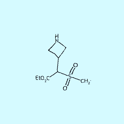 [CH2]S(=O)(=O)C(C(=O)OCC)C1CNC1